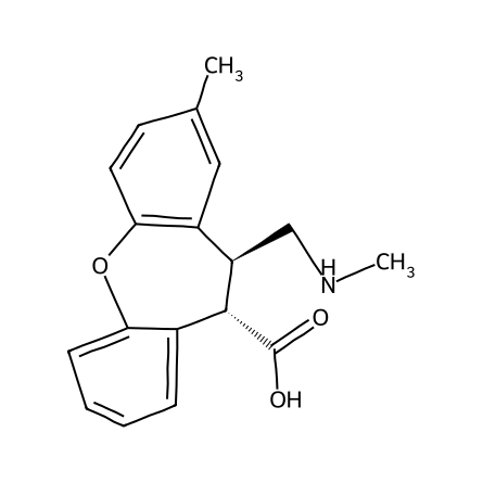 CNC[C@@H]1c2cc(C)ccc2Oc2ccccc2[C@H]1C(=O)O